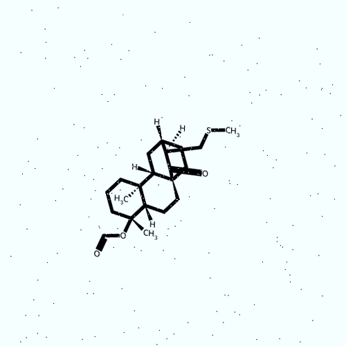 CSC[C@H]1C(=O)[C@]23CC[C@H]1C[C@H]2[C@]1(C)CCC[C@@](C)(OC=O)[C@H]1CC3